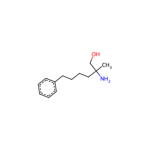 CC(N)(CO)CCCCc1ccccc1